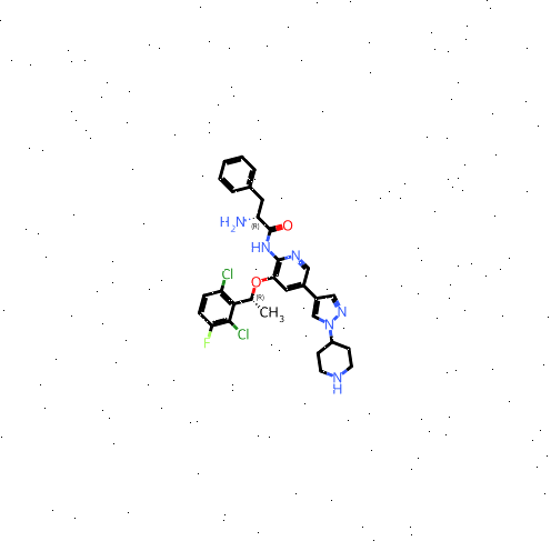 C[C@@H](Oc1cc(-c2cnn(C3CCNCC3)c2)cnc1NC(=O)[C@H](N)Cc1ccccc1)c1c(Cl)ccc(F)c1Cl